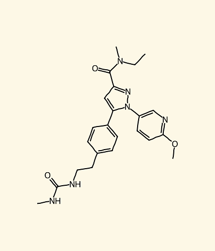 CCN(C)C(=O)c1cc(-c2ccc(CCNC(=O)NC)cc2)n(-c2ccc(OC)nc2)n1